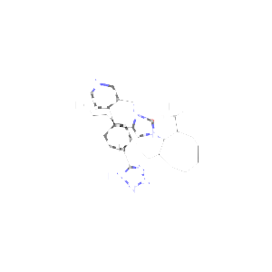 CCCCc1cn(C2C(CC)CCCCCC2C(C)C)c(=O)n1Cc1cnccc1-c1ccc(-c2nnn[nH]2)cc1